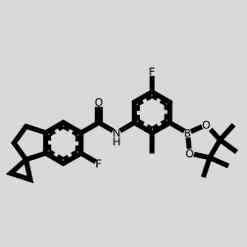 Cc1c(NC(=O)c2cc3c(cc2F)C2(CC3)CC2)cc(F)cc1B1OC(C)(C)C(C)(C)O1